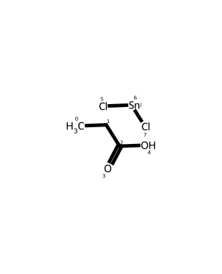 CCC(=O)O.[Cl][Sn][Cl]